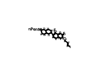 CC=CCOc1cc2ccc(C3CCC4CC(CCCCC)CCC4C3)c(F)c2cc1F